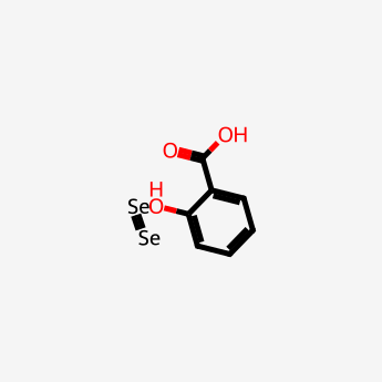 O=C(O)c1ccccc1O.[Se]=[Se]